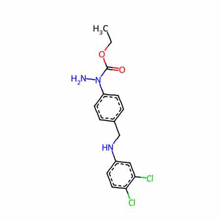 CCOC(=O)N(N)c1ccc(CNc2ccc(Cl)c(Cl)c2)cc1